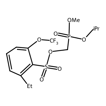 CCc1cccc(OC(F)(F)F)c1S(=O)(=O)OCP(=O)(OC)OC(C)C